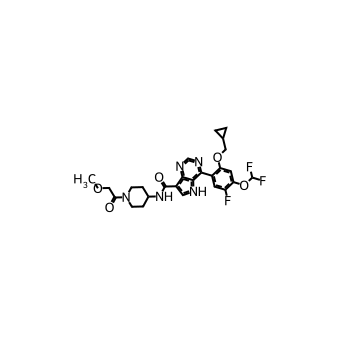 COCC(=O)N1CCC(NC(=O)c2c[nH]c3c(-c4cc(F)c(OC(F)F)cc4OCC4CC4)ncnc23)CC1